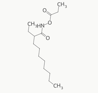 CCCCCCCCC(CC)C(=O)NOC(=O)CC